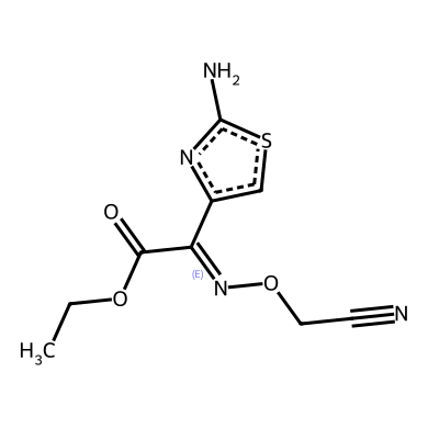 CCOC(=O)/C(=N/OCC#N)c1csc(N)n1